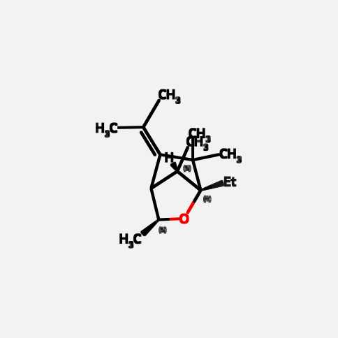 CC[C@]12O[C@@H](C)C(C(=C(C)C)C1(C)C)[C@@H]2C